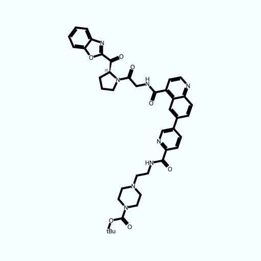 CC(C)(C)OC(=O)N1CCN(CCNC(=O)c2ccc(-c3ccc4nccc(C(=O)NCC(=O)N5CCC[C@H]5C(=O)c5nc6ccccc6o5)c4c3)cn2)CC1